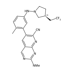 CNc1ncc2cc(-c3cc(NN4CC[C@@H](CC(F)(F)F)C4)ccc3C)c(C#N)nc2n1